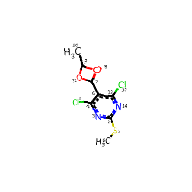 CSc1nc(Cl)c(C2OC(C)O2)c(Cl)n1